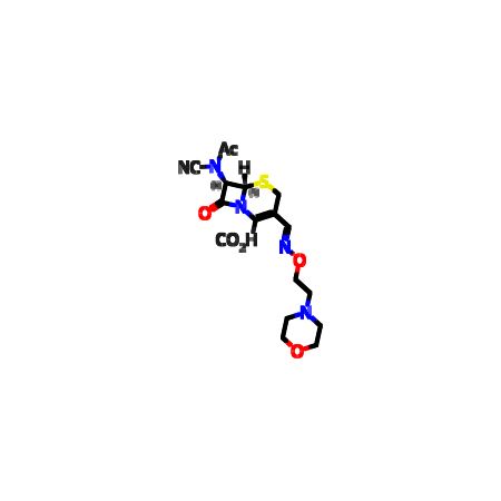 CC(=O)N(C#N)[C@@H]1C(=O)N2C(C(=O)O)=C(C=NOCCN3CCOCC3)CS[C@@H]12